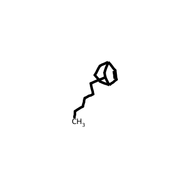 CCCCCCC1CC2C=CC1CCC2